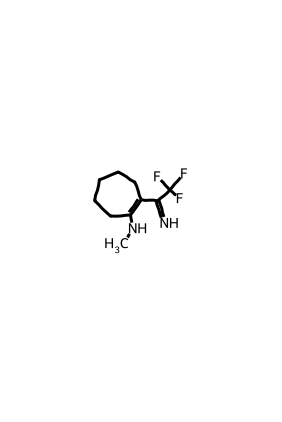 CNC1=C(C(=N)C(F)(F)F)CCCCC1